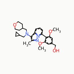 COc1cc(CO)cc(OC)c1-c1cccc2c(N(CC3CCOCC3)CC3CC3)c(C)nn12